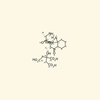 CCOC(=O)C1(N)CCCCC1C(=O)[C@H](C)NC(=O)[C@H](C)N.O=C(O)CC(O)(CC(=O)O)C(=O)O